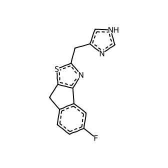 Fc1ccc2c(c1)-c1nc(Cc3c[nH]cn3)sc1C2